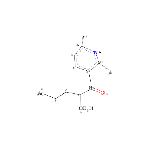 CCOC(=O)C(CCC(C)=O)C(=O)c1ccc(C)nc1C